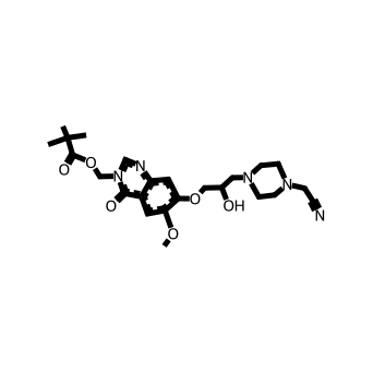 COc1cc2c(=O)n(COC(=O)C(C)(C)C)cnc2cc1OCC(O)CN1CCN(CC#N)CC1